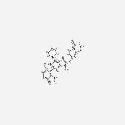 CCn1c(CN2C=C3COCC(=O)N3CC2)nc2c(N3CCOCC3)nc(-c3c(F)ccc4[nH]ccc34)nc21